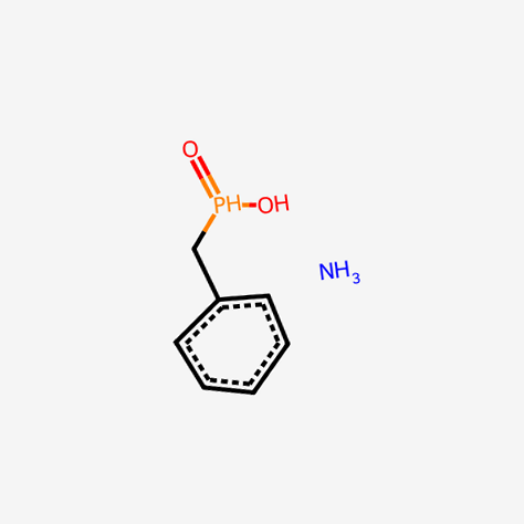 N.O=[PH](O)Cc1ccccc1